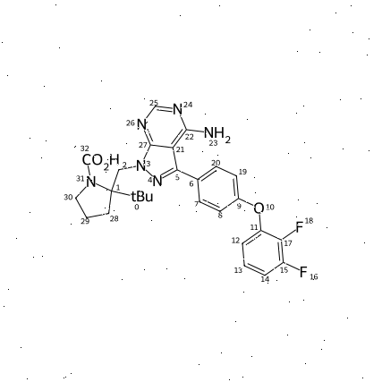 CC(C)(C)C1(Cn2nc(-c3ccc(Oc4cccc(F)c4F)cc3)c3c(N)ncnc32)CCCN1C(=O)O